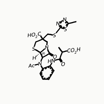 CC(=O)N(c1ccccc1NC(=O)C(C)C(=O)O)C1C(=O)N2CC(CSc3nnc(C)s3)(C(=O)O)CS[C@H]12